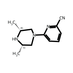 C[C@@H]1CN(c2cccc(C#N)n2)C[C@H](C)N1